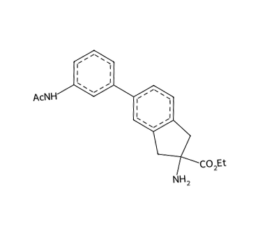 CCOC(=O)C1(N)Cc2ccc(-c3cccc(NC(C)=O)c3)cc2C1